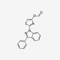 O=COc1csc(-n2nc(-c3ccccc3)c3ccccc32)n1